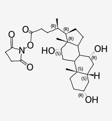 C[C@H](CCC(=O)ON1C(=O)CCC1=O)[C@H]1CCC2C3C(C[C@H](O)[C@@]21C)[C@@]1(C)CC[C@@H](O)C[C@H]1C[C@H]3O